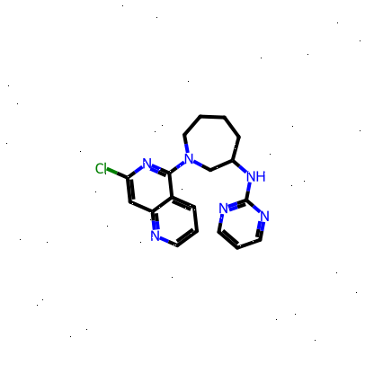 Clc1cc2ncccc2c(N2CCCCC(Nc3ncccn3)C2)n1